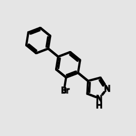 Brc1cc(-c2ccccc2)ccc1-c1cn[nH]c1